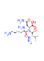 CC(C)[C@H](N)C(=O)N(C(=O)[C@@H](N)CCCCN)[C@@H](CC(N)=O)C(=O)O